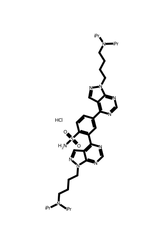 CC(C)N(CCCCn1ncc2c(-c3ccc(S(N)(=O)=O)c(-c4ncnc5c4cnn5CCCCN(C(C)C)C(C)C)c3)ncnc21)C(C)C.Cl